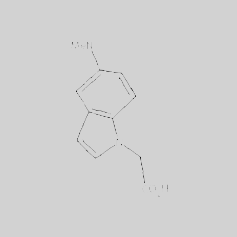 CNc1ccc2c(ccn2CC(=O)O)c1